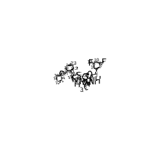 C[C@@H](NC(=O)Cc1cc(F)cc(F)c1)C(=O)Nc1ncc(-c2ccccc2COC2CCCCC2)s1